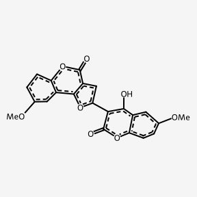 COc1ccc2oc(=O)c(-c3cc4c(=O)oc5ccc(OC)cc5c4o3)c(O)c2c1